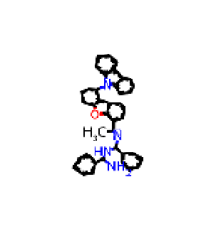 C/C(=N\C(NC(N)c1ccccc1)c1ccccc1)c1cccc2c1oc1cccc(-n3c4ccccc4c4ccccc43)c12